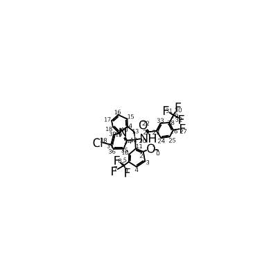 COc1ccc(C(F)(F)F)cc1[C@@](Cc1ccccc1)(NC(=O)c1ccc(F)c(C(F)(F)F)c1)c1ccc(Cl)cn1